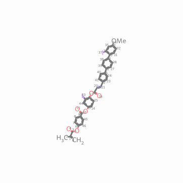 C=C(C)C(=O)Oc1ccc(C(=O)Oc2ccc(OC(=O)/C=C/c3ccc(-c4ccc(-c5ccc(OC)cc5I)cc4)cc3)c(I)c2)cc1